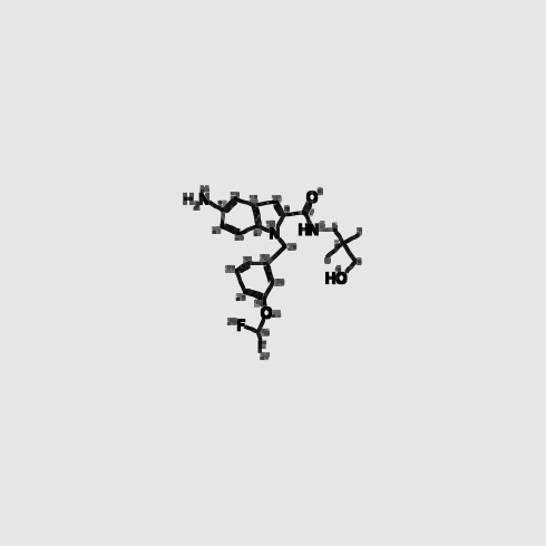 CC(C)(CO)CNC(=O)c1cc2cc(N)ccc2n1Cc1cccc(OC(F)F)c1